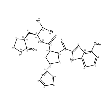 COc1cccc2[nH]c(C(=O)N3C[C@H](c4ccccc4)CC3C(=O)N[C@@H](C[C@@H]3CCNC3=O)C(O)C#N)cc12